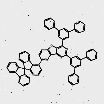 c1ccc(-c2cc(-c3ccccc3)cc(-c3nc(-c4cc(-c5ccccc5)cc(-c5ccccc5)c4)c4oc5ccc(-c6cccc7c6-c6ccccc6C76c7ccccc7-c7ccccc76)cc5c4n3)c2)cc1